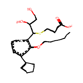 CCCCCOc1c(C2CCCC2)cccc1C(SCCC(=O)O)C(O)CO